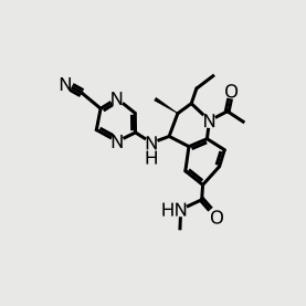 CCC1[C@H](C)C(Nc2cnc(C#N)cn2)c2cc(C(=O)NC)ccc2N1C(C)=O